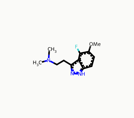 COc1ccc2[nH]nc(CCN(C)C)c2c1F